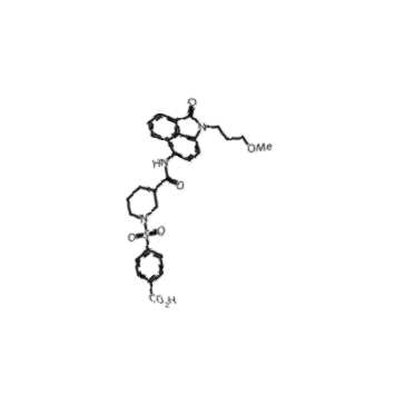 COCCCN1C(=O)c2cccc3c(NC(=O)C4CCCN(S(=O)(=O)c5ccc(C(=O)O)cc5)C4)ccc1c23